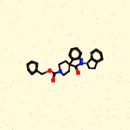 O=C(OCc1ccccc1)N1CCC(C(=O)NC2CCc3ccccc32)(c2ccccc2)CC1